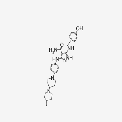 CC1CCN(C2CCN(c3ccc(Nc4n[nH]c(NCc5ccc(O)cc5)c4C(N)=O)cc3)CC2)CC1